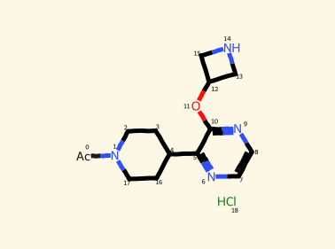 CC(=O)N1CCC(c2nccnc2OC2CNC2)CC1.Cl